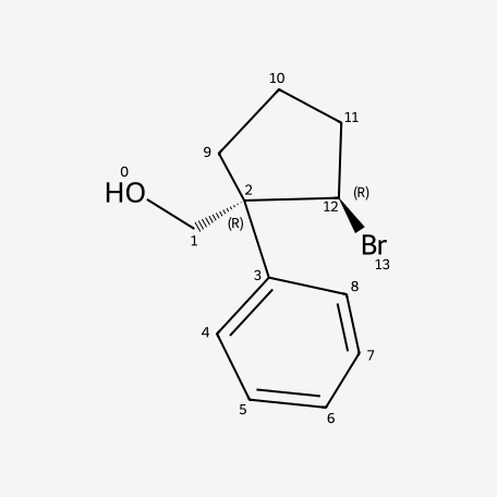 OC[C@]1(c2ccccc2)CCC[C@H]1Br